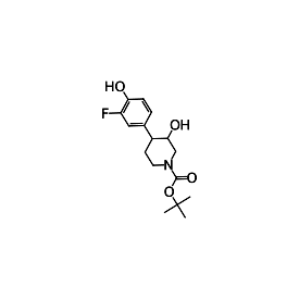 CC(C)(C)OC(=O)N1CCC(c2ccc(O)c(F)c2)C(O)C1